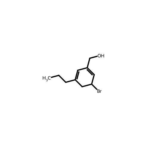 CCCC1=CC(CO)=CC(Br)C1